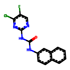 O=C(Nc1ccc2ccccc2c1)Nc1ncc(F)c(Cl)n1